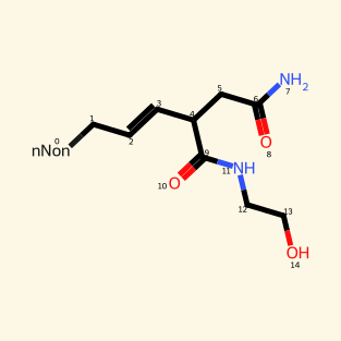 CCCCCCCCCCC=CC(CC(N)=O)C(=O)NCCO